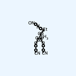 CCN(CCOC(=O)C(C)CC(C(=O)OCCOc1ccc(-c2ccc(C#N)cc2)cc1)C(=O)OCCOc1ccc(-c2ccc(C#N)cc2)cc1)c1ccc(/N=N/c2ccc(N=O)cc2)cc1